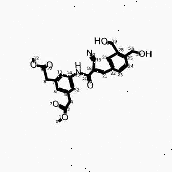 COC(=O)Cc1cc(CC(=O)OC)cc(NC(=O)C(C#N)=Cc2ccc(CO)c(CO)c2)c1